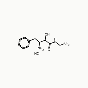 Cl.NC(Cc1ccccc1)C(O)C(=O)NCC(F)(F)F